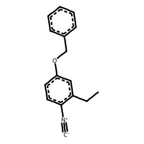 [C-]#[N+]c1ccc(OCc2ccccc2)cc1CC